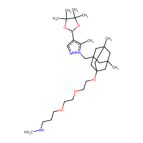 Cc1c(B2OC(C)(C)C(C)(C)O2)cnn1CC12CC3(C)CC(C)(C1)CC(OCCOCCOCCCNC(=O)O)(C3)C2